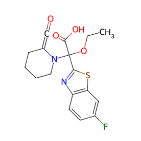 CCOC(C(=O)O)(c1nc2ccc(F)cc2s1)N1CCCCC1=C=O